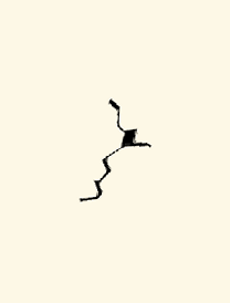 C=CCC=C(C)CCCCC